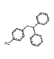 N#Cc1ccc(CC(c2ccccc2)c2ccccc2)cc1